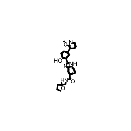 COc1ncccc1-c1ccc(O)c(-c2nc3cc(C(=O)NCC4(C)CCCO4)ccc3[nH]2)c1